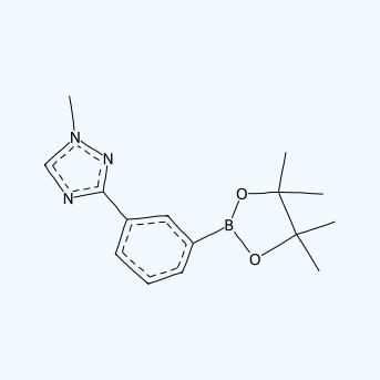 Cn1cnc(-c2cccc(B3OC(C)(C)C(C)(C)O3)c2)n1